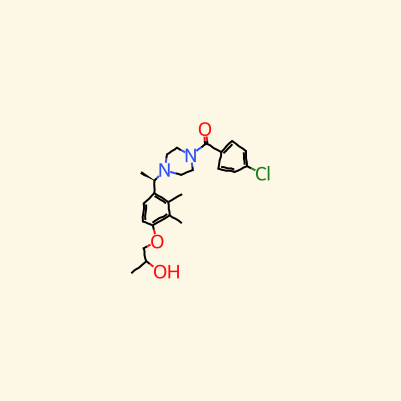 Cc1c(OCC(C)O)ccc([C@@H](C)N2CCN(C(=O)c3ccc(Cl)cc3)CC2)c1C